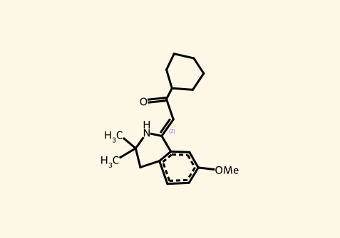 COc1ccc2c(c1)/C(=C/C(=O)C1CCCCC1)NC(C)(C)C2